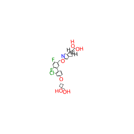 OC[C@]1(O)C[C@H](COc2ccc(-c3cc(COc4cc5c(cn4)[C@H]4[C@@H](C5)[C@@H]4C(O)O)c(F)cc3F)c(Cl)c2)C1